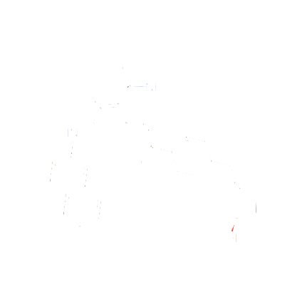 NC(=O)c1nc(Nc2ccc3ccccc3c2)sc1NC(=O)c1ccc(CN2CC[C@@H](O)C2)cc1